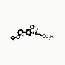 O=C(O)CCCOc1ccc(-c2cccc(OC3CCC3)n2)cc1C(F)(F)F